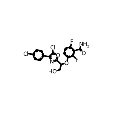 NC(=O)c1c(F)ccc(OC(CO)c2nc(-c3ccc(Cl)cc3)c(Cl)o2)c1F